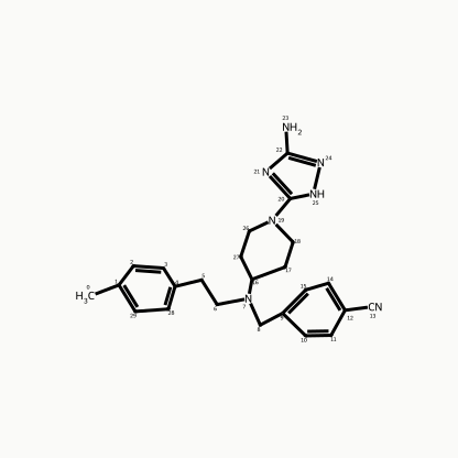 Cc1ccc(CCN(Cc2ccc(C#N)cc2)C2CCN(c3nc(N)n[nH]3)CC2)cc1